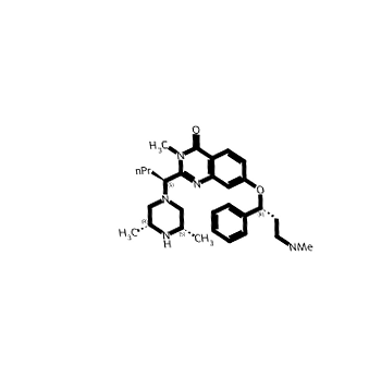 CCC[C@@H](c1nc2cc(O[C@H](CCNC)c3ccccc3)ccc2c(=O)n1C)N1C[C@@H](C)N[C@@H](C)C1